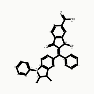 CC1c2cc(/C(=C3\C(=O)c4ccc(C(=O)O)cc4C3O)c3ccccc3)ccc2N(c2ccccc2)C1C